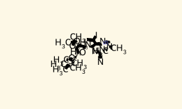 CN(C)/C=N\c1nc(C#N)nc2c1c(I)cn2[C@@H]1O[C@H](CO[Si](C)(C)C(C)(C)C)[C@H]2OC(C)(C)O[C@H]21